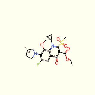 CCOC(=O)c1c(S(C)(=O)=O)n(C2CC2)c2c(OC)c(N3CC[C@H](C)C3)c(F)cc2c1=O